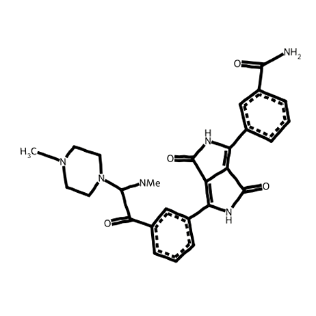 CNC(C(=O)c1cccc(C2=C3C(=O)NC(c4cccc(C(N)=O)c4)=C3C(=O)N2)c1)N1CCN(C)CC1